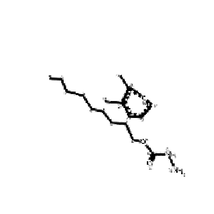 CCCCCCCCCOC(=O)NN.Cc1ccccc1C